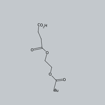 CCC(C)C(=O)OCCOC(=O)CCC(=O)O